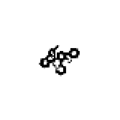 CC1=CC=C2c3ccccc3[C@@]3(CN4C=CC=CC4c4c3ccc3c4oc4ccccc43)N2C1